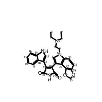 CCN(CC)CCn1cc(C2=C(c3c[nH]c4ccccc34)C(=O)NC2=O)c2c3c(ccc21)OCO3